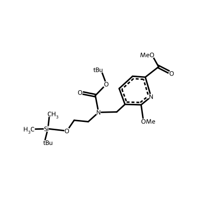 COC(=O)c1ccc(CN(CCO[Si](C)(C)C(C)(C)C)C(=O)OC(C)(C)C)c(OC)n1